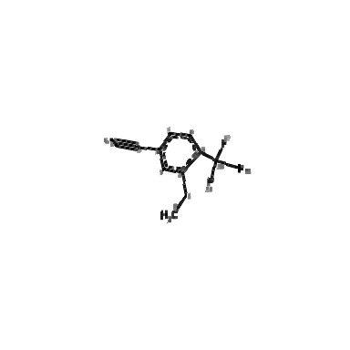 CCc1cc(C#N)ccc1C(F)(F)F